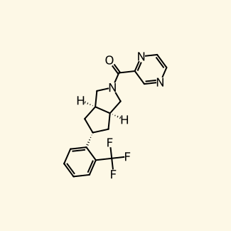 O=C(c1cnccn1)N1C[C@H]2C[C@H](c3ccccc3C(F)(F)F)C[C@H]2C1